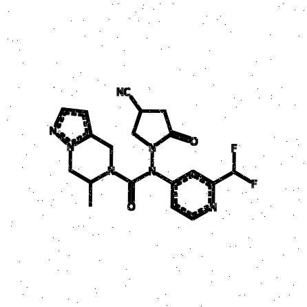 CC1Cn2nccc2CN1C(=O)N(c1ccnc(C(F)F)c1)N1CC(C#N)CC1=O